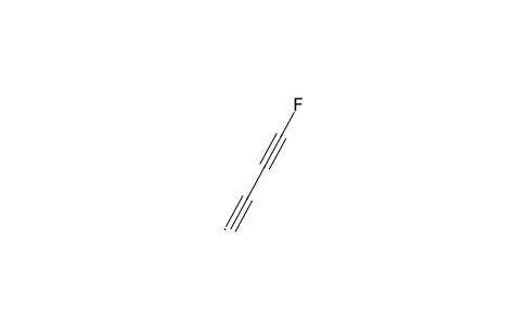 [C]#CC#CF